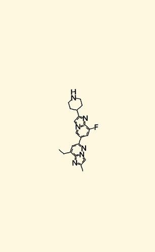 CCc1cc(-c2cc(F)c3nc(C4CCNCC4)cn3c2)nn2cc(C)nc12